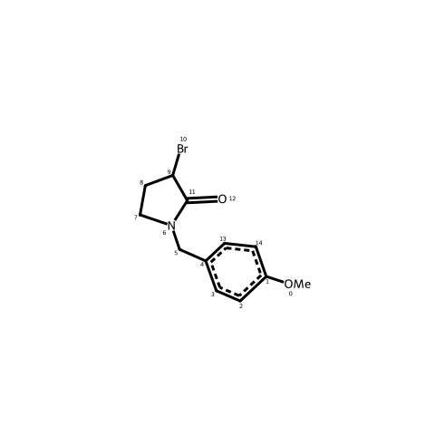 COc1ccc(CN2CCC(Br)C2=O)cc1